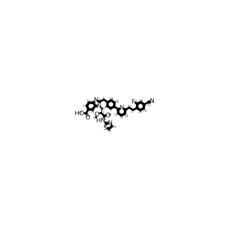 CO[C@@H](Cn1c(Cc2ccc(-c3cccc(CCc4ccc(C#N)cc4F)n3)cc2)nc2ccc(C(=O)O)cc21)C(=O)Nc1nccs1